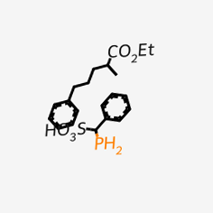 CCOC(=O)C(C)CCCc1ccccc1.O=S(=O)(O)C(P)c1ccccc1